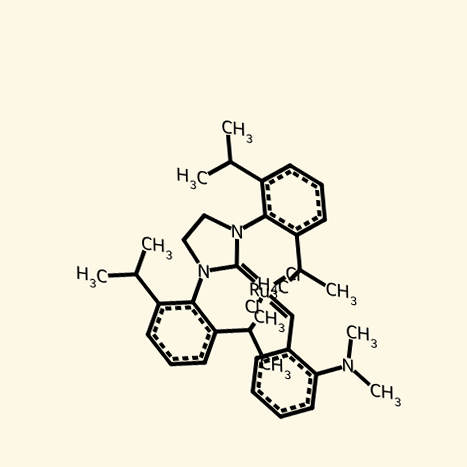 CC(C)c1cccc(C(C)C)c1N1CCN(c2c(C(C)C)cccc2C(C)C)[C]1=[Ru-4]([Cl])([Cl])=[CH]c1ccccc1N(C)C